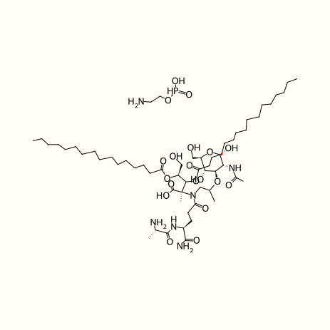 CCCCCCCCCCCCCCCC(=O)OC([C@H](CO)OC(=O)CCCCCCCCCCCCCCC)[C@](C)(C(=O)O)N(CC(C)O[C@H]1[C@H](O)[C@@H](CO)O[C@H](O)[C@@H]1NC(C)=O)C(=O)CC[C@H](NC(=O)[C@H](C)N)C(N)=O.NCCO[PH](=O)O